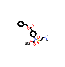 CN(C)CCS(=O)(=O)N(C(=O)OC(C)(C)C)c1ccc(C(=O)OCc2ccccc2)cc1